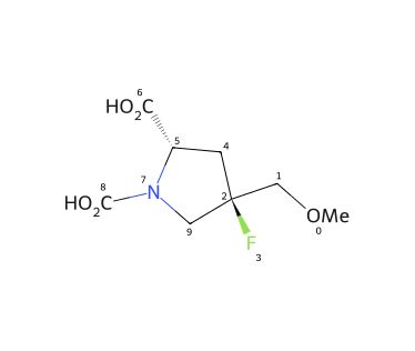 COC[C@@]1(F)C[C@@H](C(=O)O)N(C(=O)O)C1